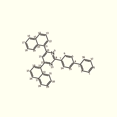 c1ccc(-c2ccc(-c3nc(-c4cccc5ccccc45)cc(-c4cccc5ccccc45)n3)cc2)cc1